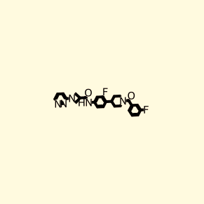 O=C(Nc1ccc(C2CCN(C(=O)c3cccc(F)c3)CC2)c(F)c1)C1CN(c2cccnn2)C1